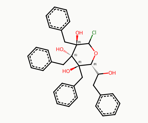 OC(Cc1ccccc1)[C@H]1OC(Cl)[C@@](O)(Cc2ccccc2)[C@](O)(Cc2ccccc2)[C@@]1(O)Cc1ccccc1